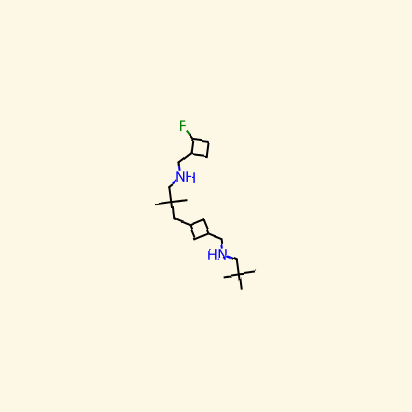 CC(C)(C)CNCC1CC(CC(C)(C)CNCC2CCC2F)C1